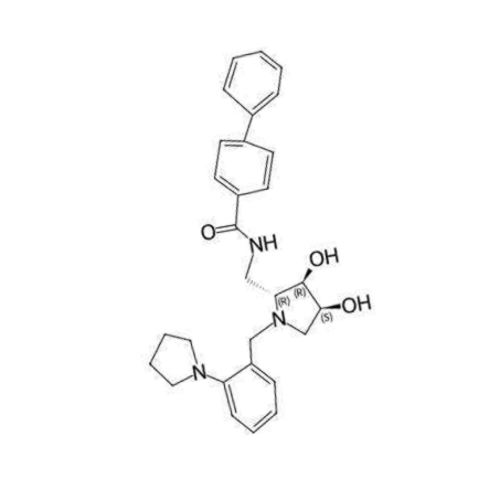 O=C(NC[C@@H]1[C@@H](O)[C@@H](O)CN1Cc1ccccc1N1CCCC1)c1ccc(-c2ccccc2)cc1